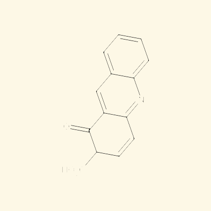 O=C(O)C1C=Cc2nc3ccccc3cc2C1=O